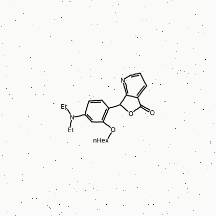 CCCCCCOc1cc(N(CC)CC)ccc1C1OC(=O)c2cccnc21